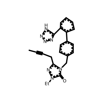 CC#CCc1nn(CC)c(=O)n1Cc1ccc(-c2ccccc2-c2nnn[nH]2)cc1